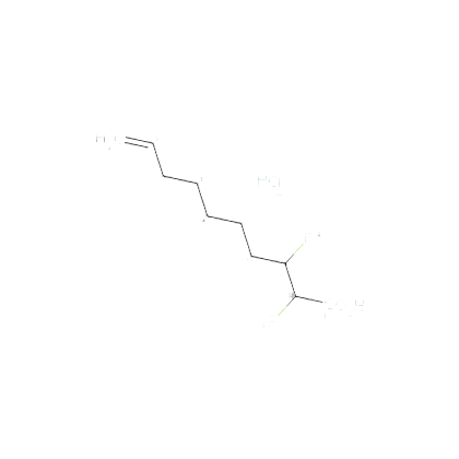 C=CCCCCCC(F)C(F)C(=O)O.Cl